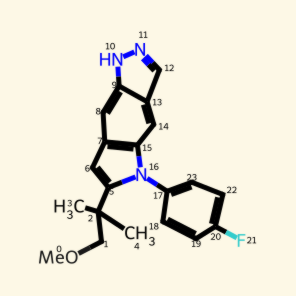 COCC(C)(C)c1cc2cc3[nH]ncc3cc2n1-c1ccc(F)cc1